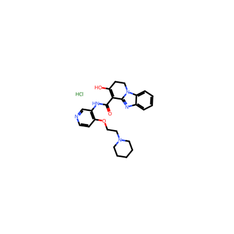 Cl.O=C(Nc1cnccc1OCCN1CCCCC1)C1=C(O)CCn2c1nc1ccccc12